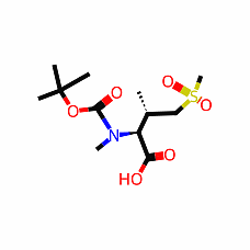 C[C@H](CS(C)(=O)=O)[C@@H](C(=O)O)N(C)C(=O)OC(C)(C)C